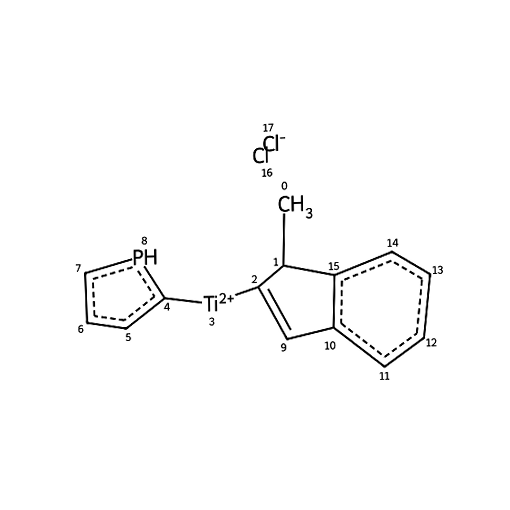 CC1[C]([Ti+2][c]2ccc[pH]2)=Cc2ccccc21.[Cl-].[Cl-]